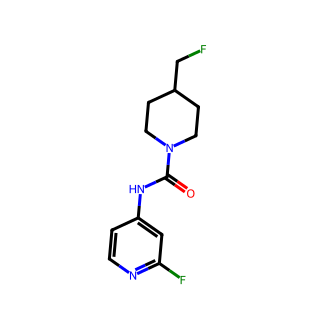 O=C(Nc1ccnc(F)c1)N1CCC(CF)CC1